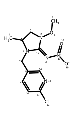 CON1CC(C)N(Cc2ccc(Cl)nc2)C1=N[N+](=O)[O-]